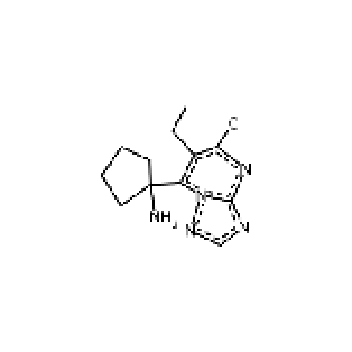 CCc1c(Cl)nc2ncnn2c1C1(N)CCCC1